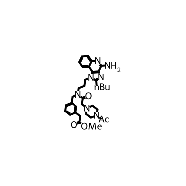 CCCCc1nc2c(N)nc3ccccc3c2n1CCCN(Cc1cccc(CC(=O)OC)c1)C(=O)CN1CCN(C(C)=O)CC1